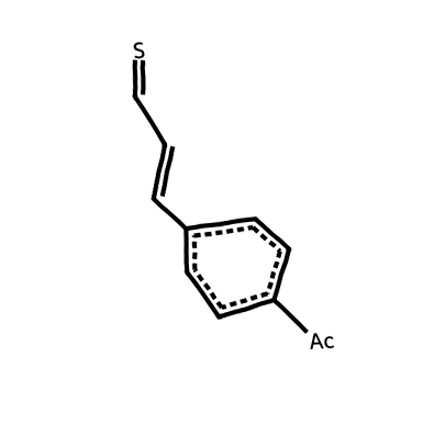 CC(=O)c1ccc(/C=C/C=S)cc1